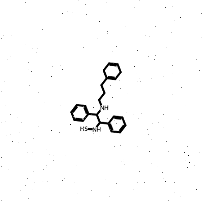 SNC(c1ccccc1)C(NCCCC1=CCC=CC1)c1ccccc1